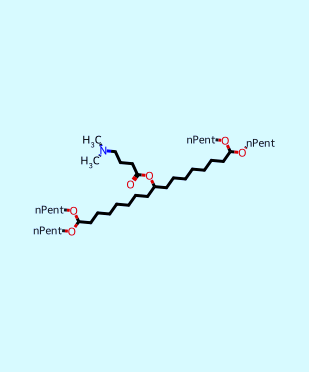 CCCCCOC(CCCCCCCC(CCCCCCCC(OCCCCC)OCCCCC)OC(=O)CCCN(C)C)OCCCCC